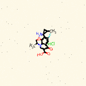 CC1COc2c([C@]3(N)CC3C)c(F)cc3c(=O)c(C(=O)O)cn1c23.Cl